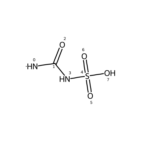 [NH]C(=O)NS(=O)(=O)O